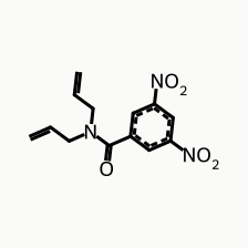 C=CCN(CC=C)C(=O)c1cc([N+](=O)[O-])cc([N+](=O)[O-])c1